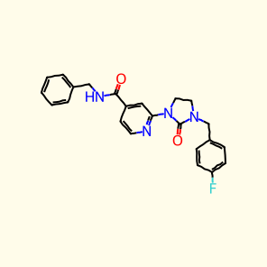 O=C(NCc1ccccc1)c1ccnc(N2CCN(Cc3ccc(F)cc3)C2=O)c1